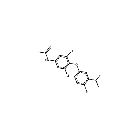 CC(=O)Nc1cc(Cl)c(Oc2ccc(Br)c(C(C)C)c2)c(Cl)c1